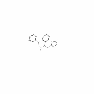 O=CN(OCc1ccccc1)C(Cc1ncc[nH]1)c1ccccc1